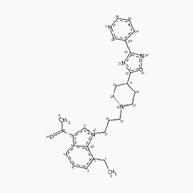 CCc1cccc2c(C(C)=O)cn(CCCN3CCC(c4nc(-c5cccnc5)no4)CC3)c12